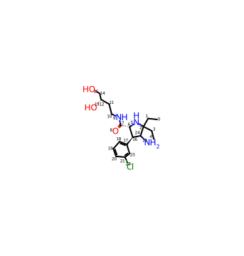 CCC1(CC)N[C@@H](C(=O)NCC[C@H](O)CO)[C@H](c2cccc(Cl)c2)C1N